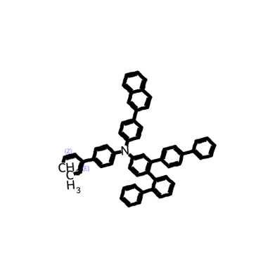 C/C=C\C(=C/C)c1ccc(N(c2ccc(-c3ccc4ccccc4c3)cc2)c2ccc(-c3ccccc3-c3ccccc3)c(-c3ccc(-c4ccccc4)cc3)c2)cc1